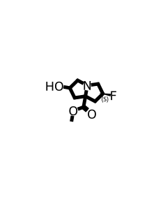 COC(=O)C12CC(O)CN1C[C@@H](F)C2